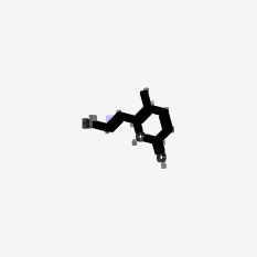 Cc1ccc(=O)oc1/C=C/Br